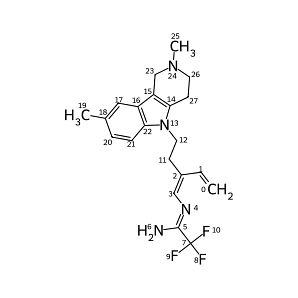 C=C/C(=C\N=C(/N)C(F)(F)F)CCn1c2c(c3cc(C)ccc31)CN(C)CC2